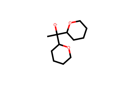 CC([O])(C1CCCCO1)C1CCCCO1